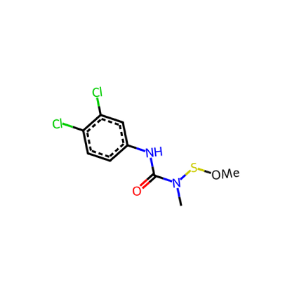 COSN(C)C(=O)Nc1ccc(Cl)c(Cl)c1